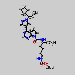 CC(C)(C)OC(=O)NCCCCC(NC(=O)n1ccc2c(-c3cnn(C(CC#N)C4CCCC4)c3)ncnc21)C(=O)O